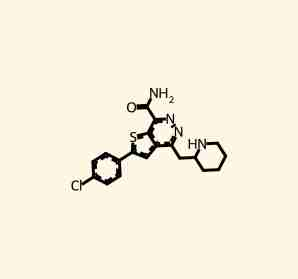 NC(=O)c1nnc(CC2CCCCN2)c2cc(-c3ccc(Cl)cc3)sc12